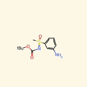 CC(C)(C)OC(=O)N=S(C)(=O)c1cccc(N)c1